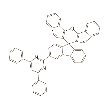 c1ccc(-c2cc(-c3ccccc3)nc(-c3ccc4c(c3)-c3ccccc3C43c4ccc5ccccc5c4Oc4c3ccc3ccccc43)n2)cc1